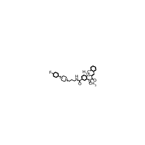 Cc1ccccc1C=C1Sc2ccc(C(=O)NCCCN3CCN(c4ccc(F)cc4)CC3)cc2N(C)C1=O